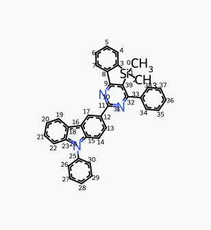 C[Si]1(C)c2ccccc2-c2nc(-c3ccc4c(c3)c3ccccc3n4-c3ccccc3)nc(-c3ccccc3)c21